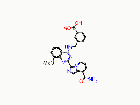 COc1cccc2c(NCc3cccc(B(O)O)c3)nc(-c3ncc4c(C(N)=O)cccn34)nc12